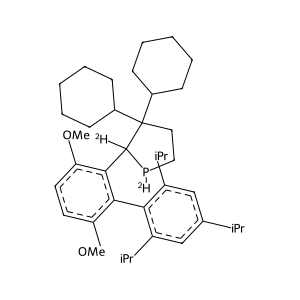 [2H]P1CCC(C2CCCCC2)(C2CCCCC2)C1([2H])c1c(OC)ccc(OC)c1-c1c(C(C)C)cc(C(C)C)cc1C(C)C